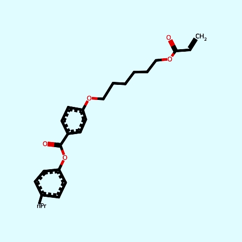 C=CC(=O)OCCCCCCOc1ccc(C(=O)Oc2ccc(CCC)cc2)cc1